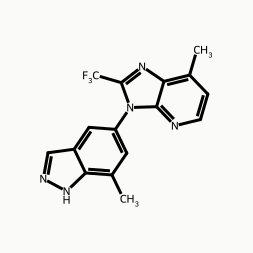 Cc1ccnc2c1nc(C(F)(F)F)n2-c1cc(C)c2[nH]ncc2c1